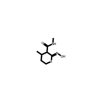 CNC(=O)C1C(=NO)SCCC1C